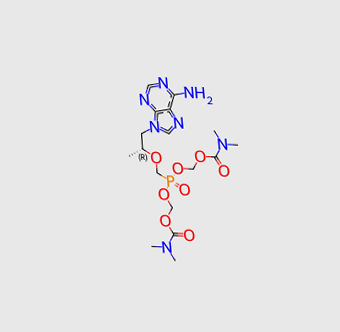 C[C@H](Cn1cnc2c(N)ncnc21)OCP(=O)(OCOC(=O)N(C)C)OCOC(=O)N(C)C